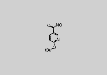 CC(C)(C)Oc1ccc(C(=O)N=O)cn1